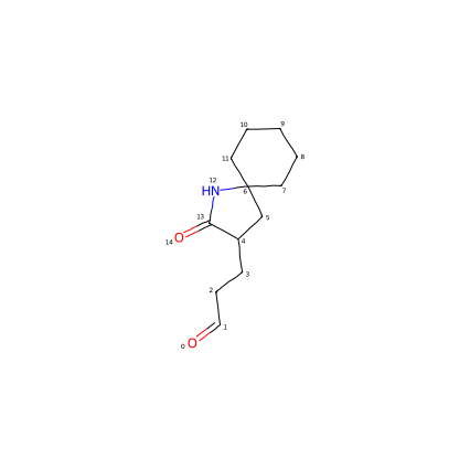 O=CCCC1CC2(CCCCC2)NC1=O